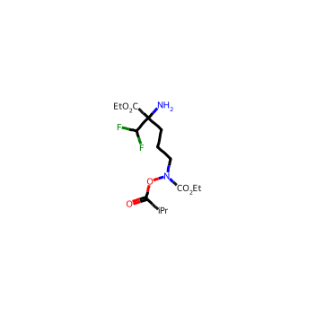 CCOC(=O)N(CCCC(N)(C(=O)OCC)C(F)F)OC(=O)C(C)C